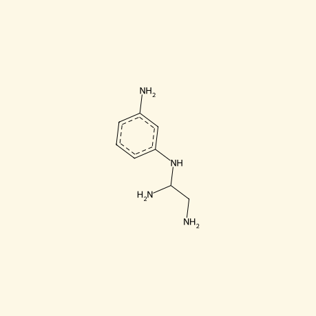 NCC(N)Nc1cccc(N)c1